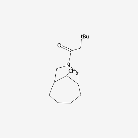 CC1C2CCCCC1CN(C(=O)CC(C)(C)C)C2